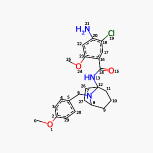 COc1ccc(CN2C3CCCC2(NC(=O)c2cc(Cl)c(N)cc2OC)CC3)cc1